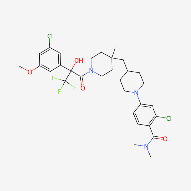 COc1cc(Cl)cc(C(O)(C(=O)N2CCC(C)(CC3CCN(c4ccc(C(=O)N(C)C)c(Cl)c4)CC3)CC2)C(F)(F)F)c1